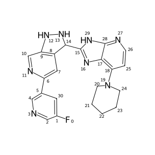 Fc1cncc(-c2cc3c(cn2)NNC3c2nc3c(N4CCCCC4)ccnc3[nH]2)c1